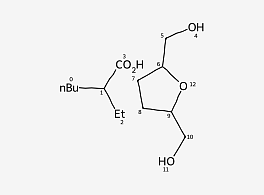 CCCCC(CC)C(=O)O.OCC1CCC(CO)O1